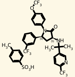 CC(C)(N[C@H]1C[C@@H](c2cccc(C(F)(F)F)c2)N(c2ccc(OC(F)(F)F)cc2)C1=O)c1ccc(C(F)(F)F)nc1.Cc1ccc(S(=O)(=O)O)cc1